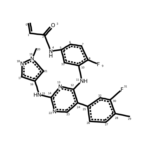 C=CC(=O)Nc1ccc(F)c(Nc2nc(Nc3cnn(C)c3)ncc2-c2ccc(C)c(F)c2)c1